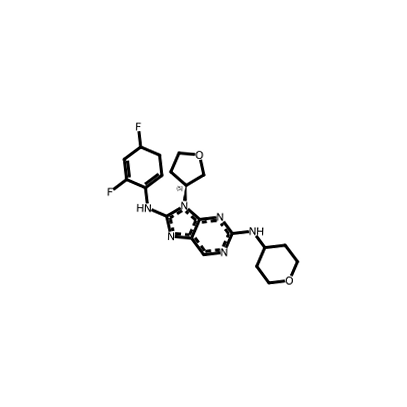 FC1=CC(F)CC=C1Nc1nc2cnc(NC3CCOCC3)nc2n1[C@H]1CCOC1